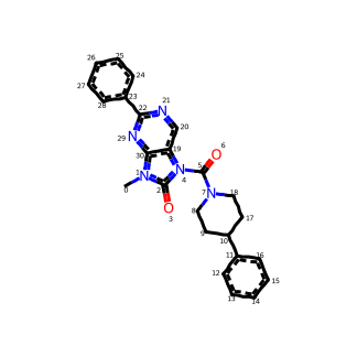 Cn1c(=O)n(C(=O)N2CCC(c3ccccc3)CC2)c2cnc(-c3ccccc3)nc21